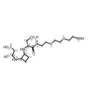 CNCCOCCOCCNC(=O)[C@H](CC(=O)O)NC1CCC1N[C@@H](CC(=O)O)C(C)=O